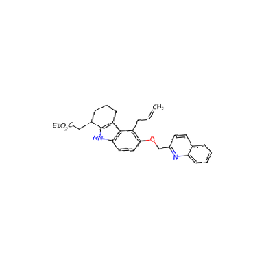 C=CCc1c(OCc2ccc3ccccc3n2)ccc2[nH]c3c(c12)CCCC3CC(=O)OCC